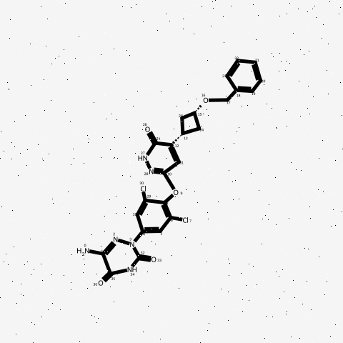 Nc1nn(-c2cc(Cl)c(Oc3cc([C@H]4C[C@@H](OCc5ccccc5)C4)c(=O)[nH]n3)c(Cl)c2)c(=O)[nH]c1=O